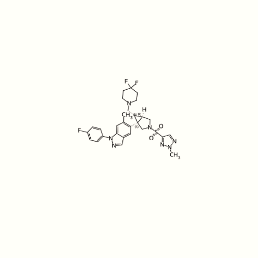 Cc1cc2c(cnn2-c2ccc(F)cc2)cc1[C@@]12CN(S(=O)(=O)c3cnn(C)n3)C[C@@H]1[C@H]2CN1CCC(F)(F)CC1